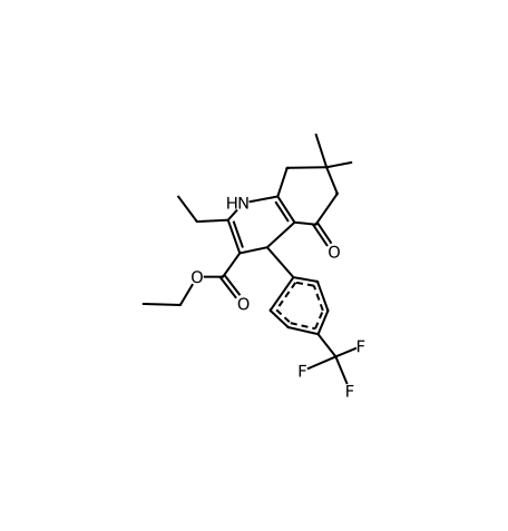 CCOC(=O)C1=C(CC)NC2=C(C(=O)CC(C)(C)C2)C1c1ccc(C(F)(F)F)cc1